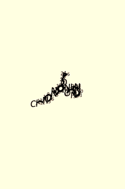 O=C(Nc1cc2cn(C3CCN(CCCl)CC3)nc2cc1OCC1CC1)c1cnn2cccnc12